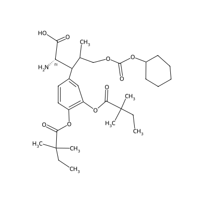 CCC(C)(C)C(=O)Oc1ccc(C(C(C)COC(=O)OC2CCCCC2)[C@H](N)C(=O)O)cc1OC(=O)C(C)(C)CC